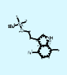 Cc1ccc(Br)c2c(CCO[Si](C)(C)C(C)(C)C)c[nH]c12